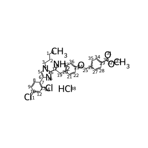 CCCCn1cc(-c2ccc(Cl)cc2Cl)nc1[C@@H](N)Cc1ccc(OCc2ccc(C(=O)OC)cc2)cc1.Cl